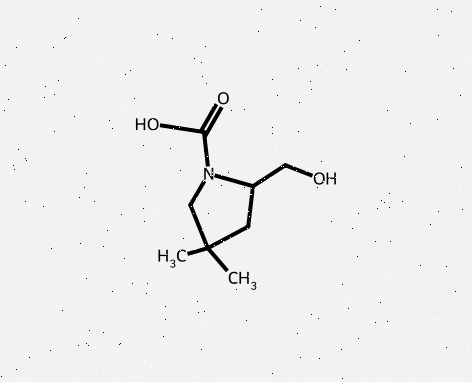 CC1(C)CC(CO)N(C(=O)O)C1